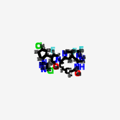 C[C@@H]1CCCC(n2cc(F)c(-c3cc(Cl)ccc3-n3cc(Cl)nn3)cc2=O)c2cc(ccn2)-c2c(cnn2C(F)F)NC1=O